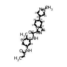 C=CC(=O)Nc1cnc(C)c(NC(=O)c2nnc3cc(-c4cnn(C)c4)ccn23)c1